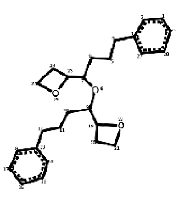 c1ccc(CCCC(OC(CCCc2ccccc2)C2CCO2)C2CCO2)cc1